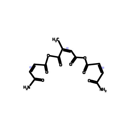 C/C(=C/C(=O)OC(=O)/C=C\C(N)=O)C(=O)OC(=O)/C=C\C(N)=O